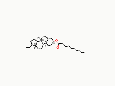 CCCCCCCCCC(=O)O[C@H]1CC[C@@]2(C)C(=CC[C@@H]3C2CC[C@]2(C)C(CC)=CCC32)C1